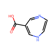 O=C(O)C1=CNC=CN=C1